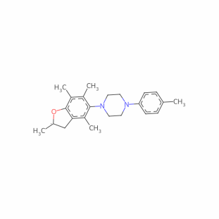 C[C]1Cc2c(C)c(N3CCN(c4ccc(C)cc4)CC3)c(C)c(C)c2O1